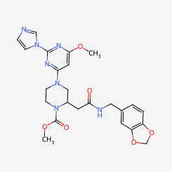 COC(=O)N1CCN(c2cc(OC)nc(-n3ccnc3)n2)CC1CC(=O)NCc1ccc2c(c1)OCO2